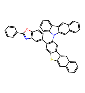 c1ccc(-c2nc3cc(-c4cc5sc6cc7ccccc7cc6c5cc4-n4c5ccccc5c5cc6ccccc6cc54)ccc3o2)cc1